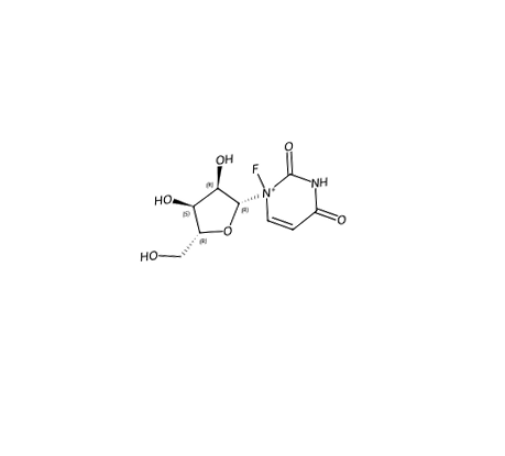 O=C1C=C[N+](F)([C@@H]2O[C@H](CO)[C@@H](O)[C@H]2O)C(=O)N1